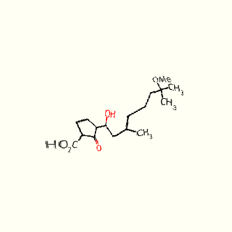 COC(C)(C)CCCC(C)CC(O)C1CCC(C(=O)O)C1=O